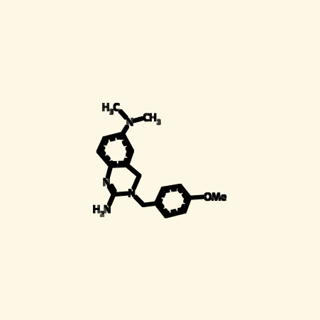 COc1ccc(CN2Cc3cc(N(C)C)ccc3N=C2N)cc1